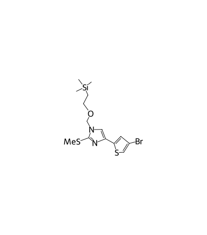 CSc1nc(-c2cc(Br)cs2)cn1COCC[Si](C)(C)C